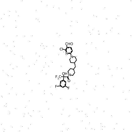 O=Cc1ccc(N2CCC(CC3CCN(C(=O)C(O)(c4cc(F)cc(F)c4)C(F)(F)F)CC3)CC2)nc1Cl